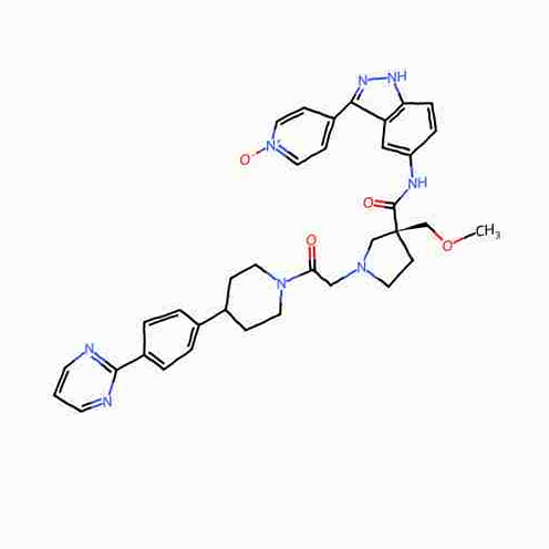 COC[C@@]1(C(=O)Nc2ccc3[nH]nc(-c4cc[n+]([O-])cc4)c3c2)CCN(CC(=O)N2CCC(c3ccc(-c4ncccn4)cc3)CC2)C1